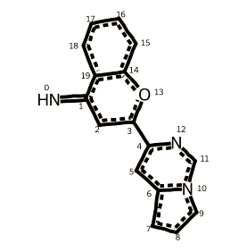 N=c1cc(-c2cc3cccn3cn2)oc2ccccc12